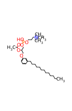 CCCCCCCCCCCCCc1cccc(OCC(COP(O)OCCC[N+](C)(C)C)OC(C)=O)c1